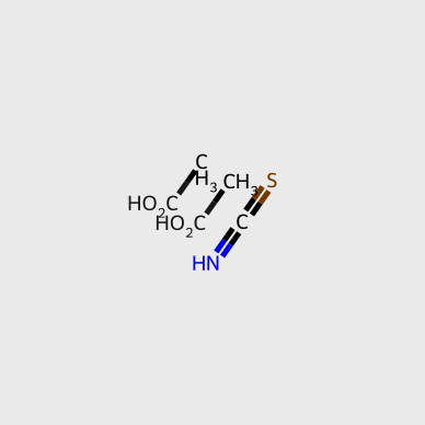 CC(=O)O.CC(=O)O.N=C=S